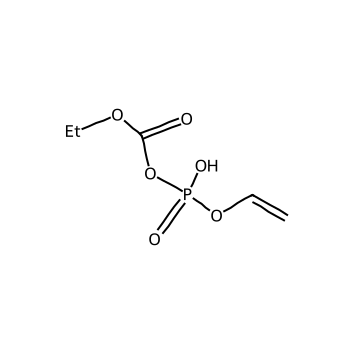 C=COP(=O)(O)OC(=O)OCC